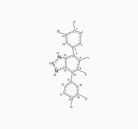 Cc1ccc(-c2c(C)c(C)c(-c3ccc(C)c(C)c3)c3nsnc23)cc1C